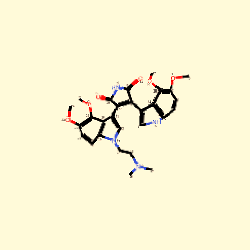 COc1ccc2[nH]cc(C3=C(c4cn(CCN(C)C)c5ccc(OC)c(OC)c45)C(=O)NC3=O)c2c1OC